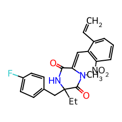 C=Cc1cccc([N+](=O)[O-])c1C=C1C(=O)NC(CC)(Cc2ccc(F)cc2)C(=O)N1C